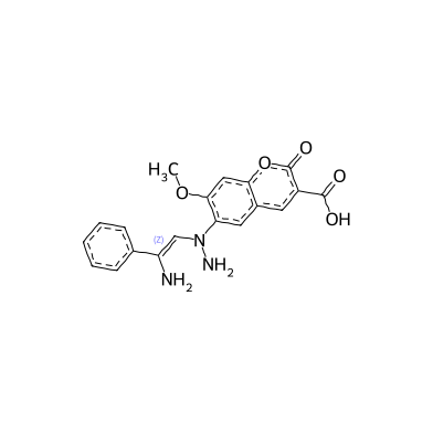 COc1cc2oc(=O)c(C(=O)O)cc2cc1N(N)/C=C(\N)c1ccccc1